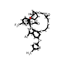 CC(=O)c1nn2c3c(cc(Oc4ncc(C)cn4)cc13)CCCCCC(=O)NC[C@@]13C[C@@H](C(=O)Nc4nc(C(F)(F)F)ccc4C)N(C(=O)C2)[C@@H]1C3